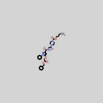 CCCCOC(=O)N1CCN(C(=O)CNC(=O)c2cc(OCC(=O)OCc3ccccc3)n(-c3ccccc3)n2)CC1